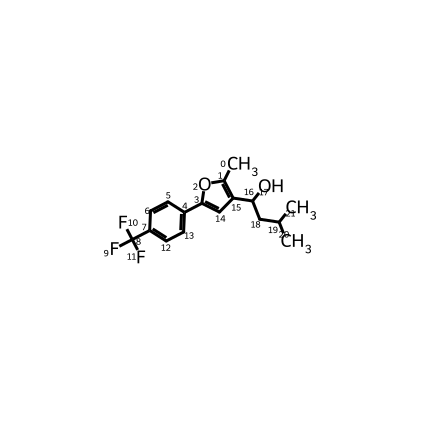 Cc1oc(-c2ccc(C(F)(F)F)cc2)cc1C(O)CC(C)C